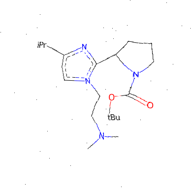 CC(C)c1cn(CCN(C)C)c(C2CCCN2C(=O)OC(C)(C)C)n1